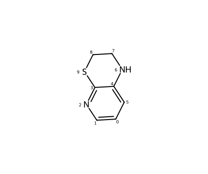 c1cnc2c(c1)NCCS2